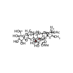 COC(=O)[C@@]12OC[C@]34[C@H]([C@@H](O)[C@@H]1O)[C@@]1(C)C=C(O[C@@H]5O[C@H](CO)[C@@H](O)[C@H](O)[C@H]5O)C(=O)[C@@H](C)[C@@H]1C[C@H]3OC(=O)[C@H](OC(=O)CC(C)C(C)(C)OC(C)=O)[C@@H]24